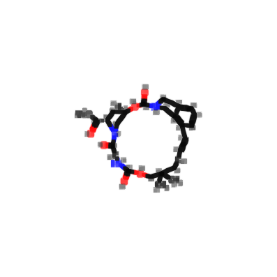 COC(=O)[C@@H]1C[C@@H]2CN1C(=O)CNC(=O)OCC(C)(C)CC/C=C/c1cccc3c1CN(C3)C(=O)O2